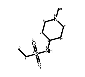 CCS(=O)(=O)NC1CCN(C)CC1